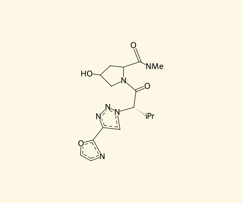 CNC(=O)C1CC(O)CN1C(=O)[C@H](C(C)C)n1cc(-c2ncco2)nn1